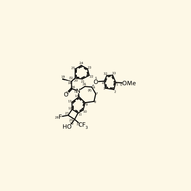 COc1ccc(O[C@@H]2CCc3cc4c(cc3N(C(=O)[C@@H](C)c3ccccc3)C2)C(F)C4(O)C(F)(F)F)cc1